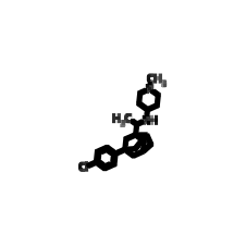 CC(NC1CCN(C)CC1)C12CC3CC1CC(c1ccc(Cl)cc1)(C3)C2